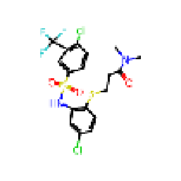 CN(C)C(=O)CCSc1ccc(Cl)cc1NS(=O)(=O)c1ccc(Cl)c(C(F)(F)F)c1